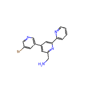 NCc1cc(-c2cncc(Br)c2)cc(-c2ccccn2)n1